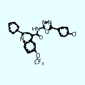 O=C(Nc1nnc(-c2ccc(Cl)cc2)o1)c1cc(-c2ccccc2)nc2ccc(OC(F)(F)F)cc12